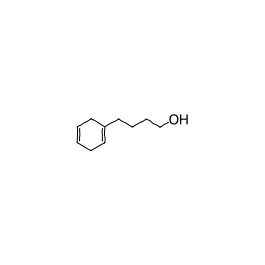 OCCCCC1=CCC=CC1